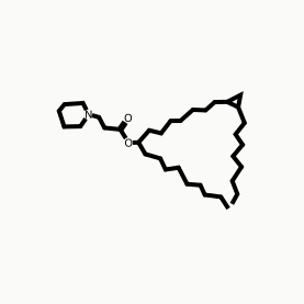 CCCCCCCCCC(CCCCCCCC1CC1CCCCCCCC)OC(=O)CCN1CCCCC1